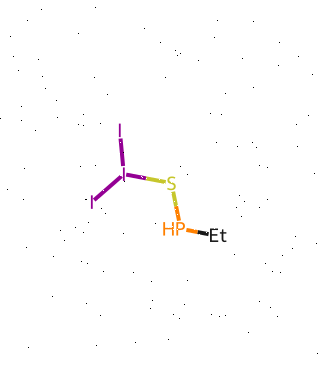 CCPSI(I)I